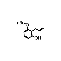 C=CCc1c(O)cccc1OCCCC